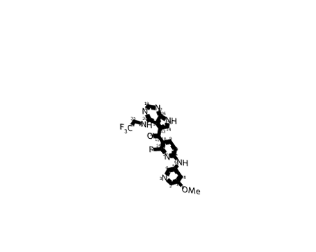 COc1cncc(Nc2ccc(C(=O)c3c[nH]c4ncnc(NCC(F)(F)F)c34)c(F)n2)c1